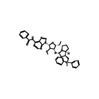 CC[C@H]1O[C@@H](n2cnc3c(NC(=O)c4ccccc4)ncnc32)C(OC)[C@H]1O[P@@]1O[C@H](C[Si](C)(c2ccccc2)c2ccccc2)[C@@H]2CCCN21